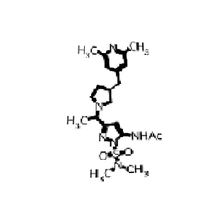 CC(=O)Nc1cc(C(C)N2CC[C@@H](Cc3cc(C)nc(C)c3)C2)nn1S(=O)(=O)N(C)C